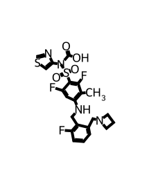 Cc1c(NCc2c(F)cccc2CN2CCC2)cc(F)c(S(=O)(=O)N(C(=O)O)c2cscn2)c1F